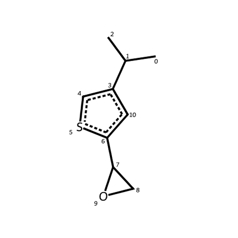 CC(C)c1csc(C2CO2)c1